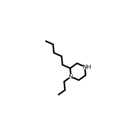 CCCCCC1CNCCN1CCC